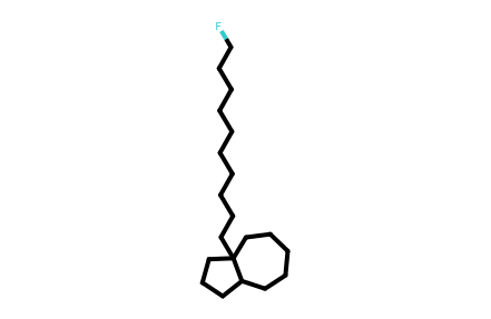 FCCCCCCCCCCC12CCCCCC1CCC2